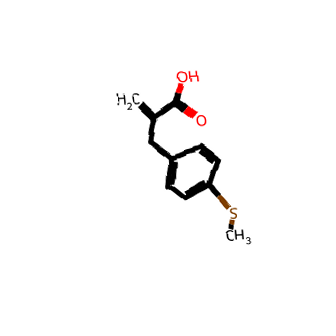 C=C(Cc1ccc(SC)cc1)C(=O)O